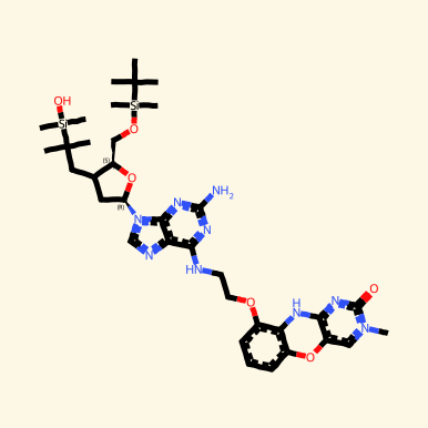 Cn1cc2c(nc1=O)Nc1c(OCCNc3nc(N)nc4c3ncn4[C@H]3CC(CC(C)(C)[Si](C)(C)O)[C@@H](CO[Si](C)(C)C(C)(C)C)O3)cccc1O2